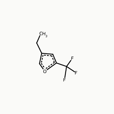 CCc1coc(C(F)(F)F)c1